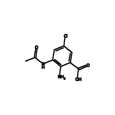 CC(=O)Nc1cc(Cl)cc(C(=O)O)c1N